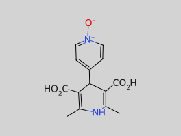 CC1=C(C(=O)O)C(c2cc[n+]([O-])cc2)C(C(=O)O)=C(C)N1